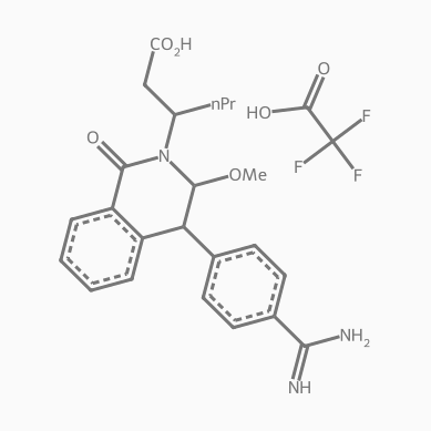 CCCC(CC(=O)O)N1C(=O)c2ccccc2C(c2ccc(C(=N)N)cc2)C1OC.O=C(O)C(F)(F)F